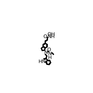 CCNC(=O)N(CCc1c[nH]c2ccccc12)C1CCc2cc(C=CC(=O)NO)ccc21